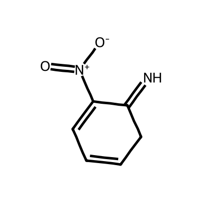 N=C1CC=CC=C1[N+](=O)[O-]